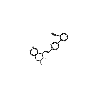 C[C@H]1[C@H](/C=C/c2ccc(-c3ccccc3C#N)cn2)c2cnccc2C[C@@H]1C